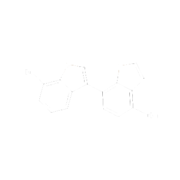 CC(C)(C)c1ccc(-c2csc3c(C(C)(C)C)cccc23)c2sccc12